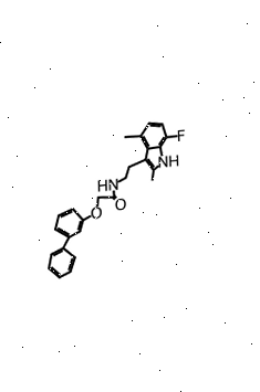 Cc1[nH]c2c(F)ccc(C)c2c1CCNC(=O)COc1cccc(-c2ccccc2)c1